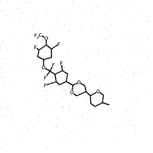 CC1CCC(C2COC(C3CC(F)C(C(F)(F)OC4CC(F)C(OC(F)(F)F)C(F)C4)C(F)C3)OC2)OC1